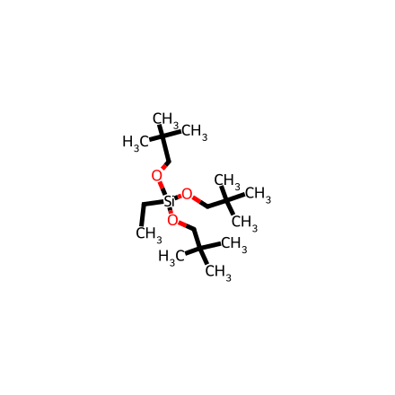 CC[Si](OCC(C)(C)C)(OCC(C)(C)C)OCC(C)(C)C